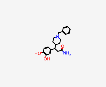 NC(=O)CC(c1ccc(O)c(O)c1)C1CCN(Cc2ccccc2)CC1